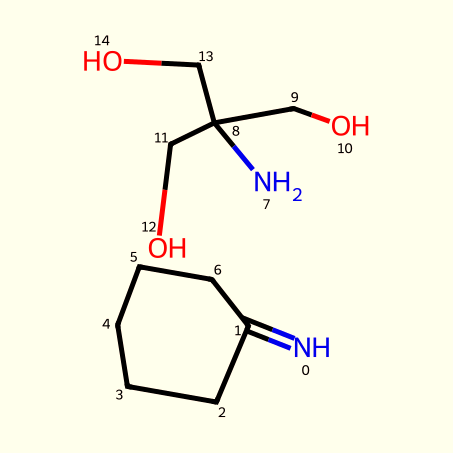 N=C1CCCCC1.NC(CO)(CO)CO